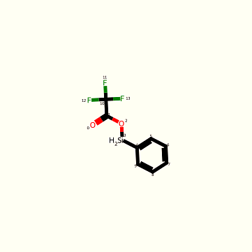 O=C(O[SiH2]c1ccccc1)C(F)(F)F